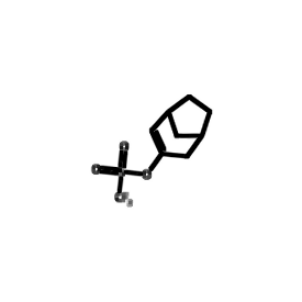 O=S(=O)(OC1=CC2CCC(C1)C2)C(F)(F)F